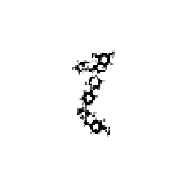 COc1ccc(Cn2ncn(-c3ccc(N4CCN([C@H](C)[C@](O)(Cn5cncn5)c5ccc(F)cc5F)CC4)cc3)c2=O)cc1